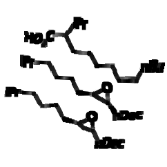 CCCC/C=C\CCCCC(C(=O)O)C(C)C.CCCCCCCCCCC1O[C@@H]1CCCCC(C)C.CCCCCCCCCC[C@@H]1O[C@@H]1CCCCC(C)C